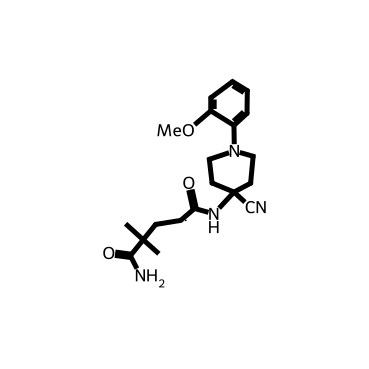 COc1ccccc1N1CCC(C#N)(NC(=O)[CH]CC(C)(C)C(N)=O)CC1